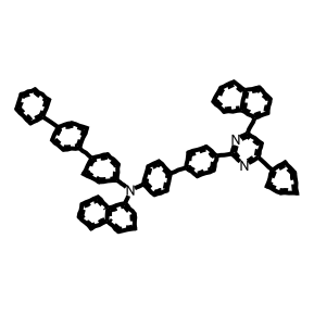 c1ccc(-c2ccc(-c3ccc(N(c4ccc(-c5ccc(-c6nc(-c7ccccc7)cc(-c7cccc8ccccc78)n6)cc5)cc4)c4cccc5ccccc45)cc3)cc2)cc1